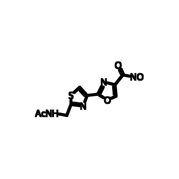 CC(=O)NCc1nc(-c2nc(C(=O)N=O)co2)cs1